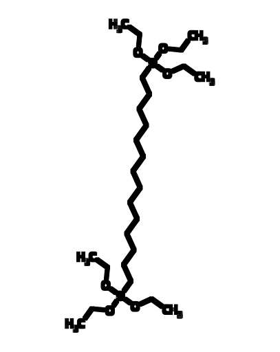 CCO[Si](CCCCCCCCCCCCCC[Si](OCC)(OCC)OCC)(OCC)OCC